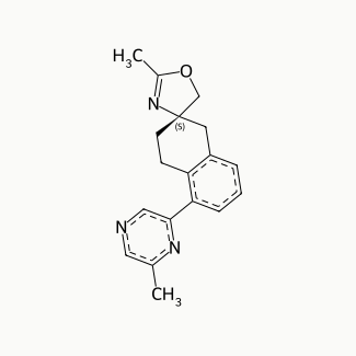 CC1=N[C@]2(CCc3c(cccc3-c3cncc(C)n3)C2)CO1